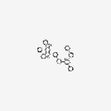 c1ccc(-c2cccc(-c3nc(-c4ccccc4)cc(-c4cccc(-c5cccc(-c6nc7ccccc7c7c(-c8ccccc8)c8c(cc67)oc6ccccc68)c5)c4)n3)c2)cc1